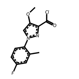 COc1cn(-c2ccc(F)cc2C)nc1C(=O)Cl